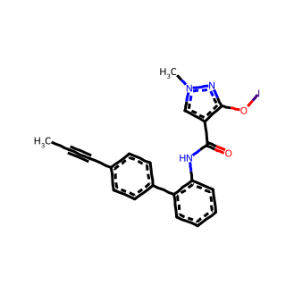 CC#Cc1ccc(-c2ccccc2NC(=O)c2cn(C)nc2OI)cc1